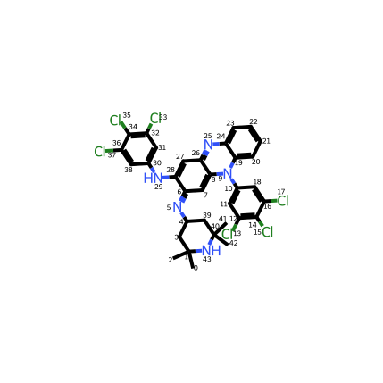 CC1(C)CC(N=c2cc3n(-c4cc(Cl)c(Cl)c(Cl)c4)c4ccccc4nc-3cc2Nc2cc(Cl)c(Cl)c(Cl)c2)CC(C)(C)N1